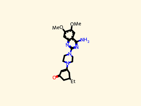 CCC1CC(=O)C=C(N2CCN(c3nc(N)c4cc(OC)c(OC)cc4n3)CC2)C1